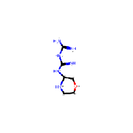 N=C(N)NC(=N)NC1COCCN1